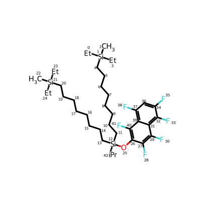 CC[Si](C)(CC)CCCCCCCC[Si](CCCCCCCC[Si](C)(CC)CC)(Oc1c(F)c(F)c2c(F)c(F)[c]c(F)c2c1F)C(C)C